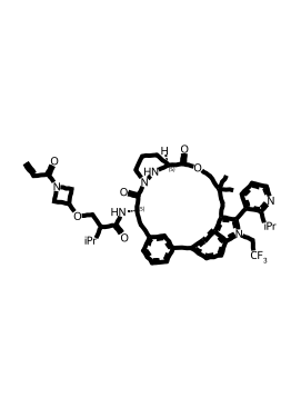 C=CC(=O)N1CC(OCC(C(=O)N[C@H]2Cc3cccc(c3)-c3ccc4c(c3)c(c(-c3cccnc3C(C)C)n4CC(F)(F)F)CC(C)(C)COC(=O)[C@@H]3CCCN(N3)C2=O)C(C)C)C1